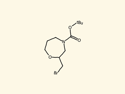 CC(C)(C)OC(=O)N1CCCOC(CBr)C1